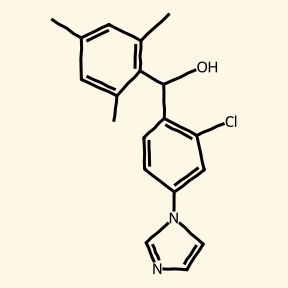 Cc1cc(C)c(C(O)c2ccc(-n3ccnc3)cc2Cl)c(C)c1